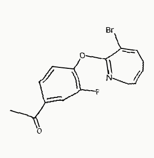 CC(=O)c1ccc(Oc2ncccc2Br)c(F)c1